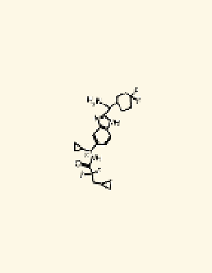 NC(c1nc2cc([C@H](NC(=O)C(F)(F)CC3CC3)C3CC3)ccc2[nH]1)C1CCC(F)(F)CC1